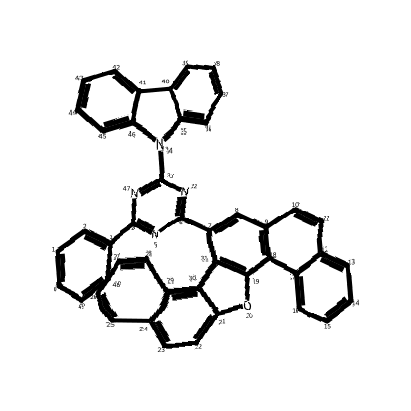 c1ccc(-c2nc(-c3cc4ccc5ccccc5c4c4oc5ccc6ccccc6c5c34)nc(-n3c4ccccc4c4ccccc43)n2)cc1